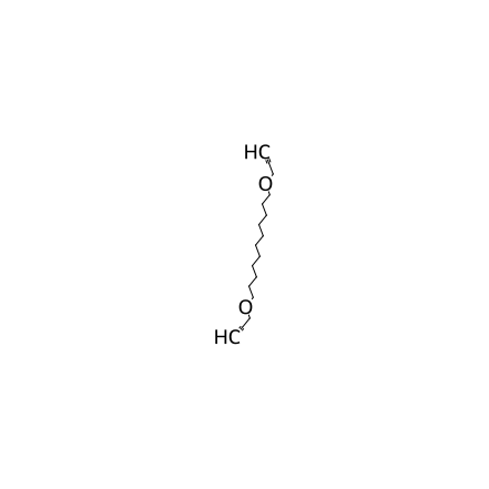 C#CCOCCCCCCCCCCCOCC#C